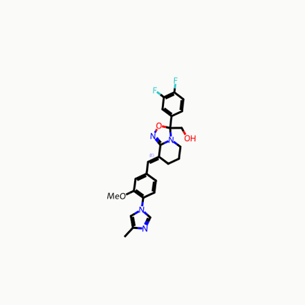 COc1cc(/C=C2\CCCN3C2=NOC3(CO)c2ccc(F)c(F)c2)ccc1-n1cnc(C)c1